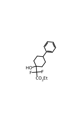 CCOC(=O)C(F)(F)C1(O)CCC(c2ccccc2)CC1